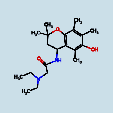 CCN(CC)CC(=O)NC1CC(C)(C)Oc2c(C)c(C)c(O)c(C)c21